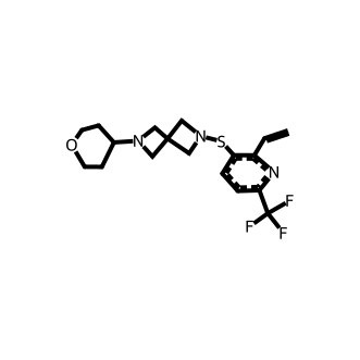 C=Cc1nc(C(F)(F)F)ccc1SN1CC2(C1)CN(C1CCOCC1)C2